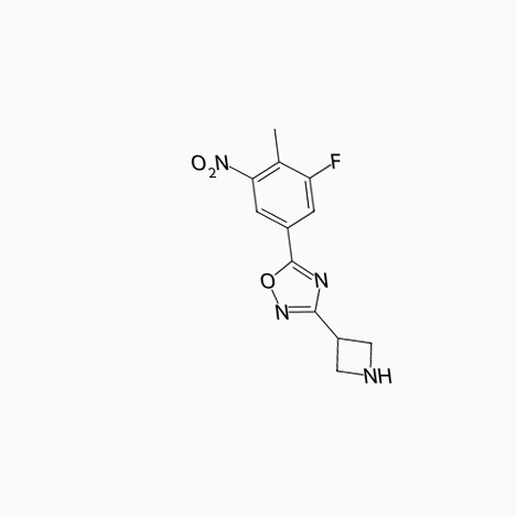 Cc1c(F)cc(-c2nc(C3CNC3)no2)cc1[N+](=O)[O-]